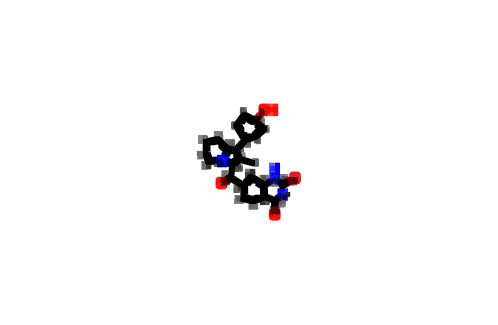 Cc1c(-c2ccc(O)cc2)c2ccccn2c1C(=O)c1ccc2c(c1)NC(=O)[N]C2=O